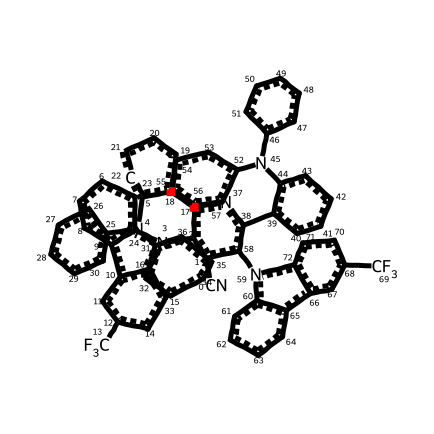 N#Cc1c(-n2c3ccccc3c3cc(C(F)(F)F)ccc32)c(-c2ccccc2N(c2ccccc2)c2ccccc2)nc(-c2ccccc2N(c2ccccc2)c2ccccc2)c1-n1c2ccccc2c2cc(C(F)(F)F)ccc21